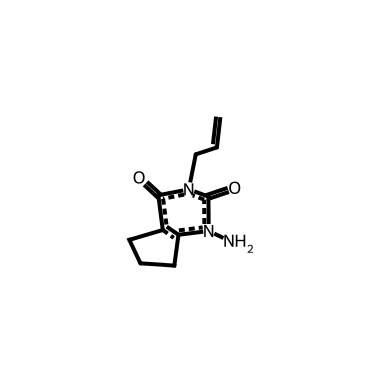 C=CCn1c(=O)c2c(n(N)c1=O)CCC2